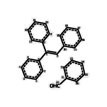 C(=C(c1ccccc1)c1ccccc1)c1ccccc1.O=Cc1ccccc1